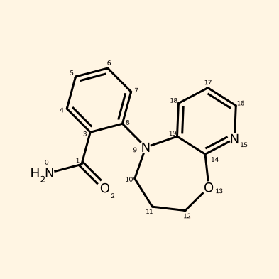 NC(=O)c1ccccc1N1CCCOc2ncccc21